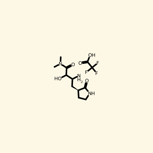 CN(C)C(=O)C(O)C(N)C[C@@H]1CCNC1=O.O=C(O)C(F)(F)F